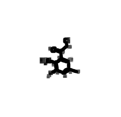 Cc1cc(F)c(N)c(C(=O)CCl)c1